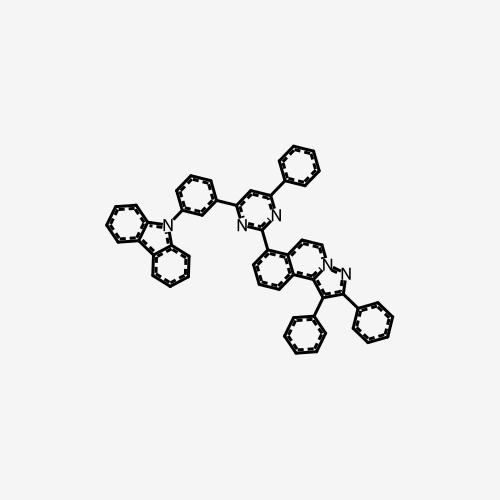 c1ccc(-c2cc(-c3cccc(-n4c5ccccc5c5ccccc54)c3)nc(-c3cccc4c3ccn3nc(-c5ccccc5)c(-c5ccccc5)c43)n2)cc1